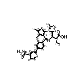 CC[C@H](C(=O)O)C1N=C(c2ccc(-c3cc(C(N)=O)ccn3)cc2)c2c(sc(C)c2C)-n2c(C)nnc21